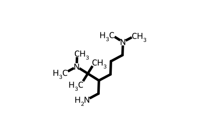 CN(C)CCCC(CN)C(C)(C)N(C)C